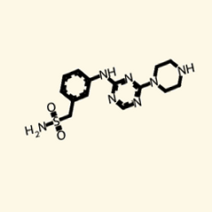 NS(=O)(=O)Cc1cccc(Nc2ncnc(N3CCNCC3)n2)c1